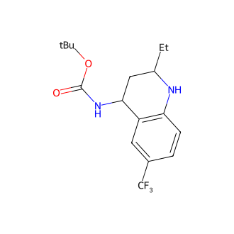 CCC1CC(NC(=O)OC(C)(C)C)c2cc(C(F)(F)F)ccc2N1